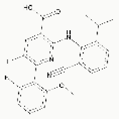 COc1cccc(F)c1-c1nc(Nc2c(C#N)cccc2C(C)C)c(C(=O)O)cc1F